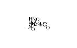 CCNC(=O)c1cc(O[C@H](C)c2cccc(OC)c2)c(C(=O)NC)[nH]1